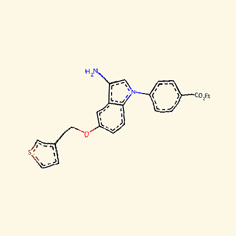 CCOC(=O)c1ccc(-n2cc(N)c3cc(OCc4ccsc4)ccc32)cc1